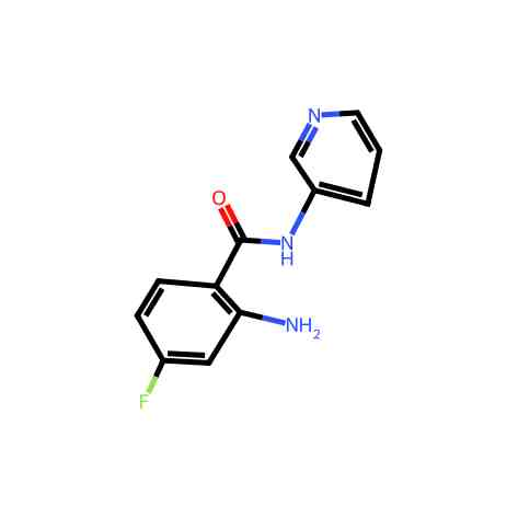 Nc1cc(F)ccc1C(=O)Nc1cccnc1